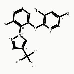 Cc1cccc(Oc2ncc(Cl)cc2F)c1-n1cc(C(F)(F)F)cn1